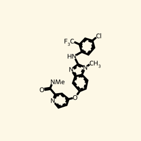 CNC(=O)c1cc(Oc2ccc3c(c2)nc(Nc2ccc(Cl)cc2C(F)(F)F)n3C)ccn1